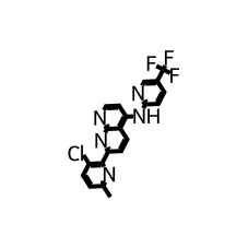 Cc1ccc(Cl)c(-c2ccc3c(Nc4ccc(C(F)(F)F)cn4)ccnc3n2)n1